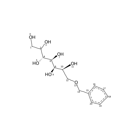 OCC(O)[C@@H](O)[C@@H](O)[C@H](O)[C@@H](O)COCc1ccccc1